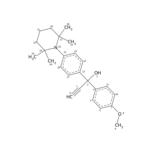 C#CC(O)(c1ccc(OC)cc1)c1ccc(N2C(C)(C)CCCC2(C)C)cc1